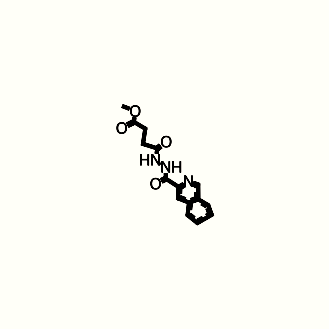 COC(=O)CCC(=O)NNC(=O)c1cc2ccccc2cn1